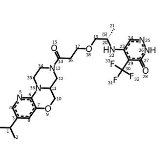 CC(C)c1cnc2c(c1)OCC1CN(C(=O)CCOC[C@H](C)Nc3cn[nH]c(=O)c3C(F)(F)F)CCN21